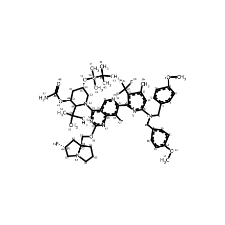 COc1ccc(CN(Cc2ccc(OC)cc2)c2cc(C)c(C(F)(F)F)c(-c3ncc4c(N5C[C@@H](O[Si](C)(C)C(C)(C)C)C[C@H](OC(N)=O)C5C(C)(C)C)nc(OC[C@@]56CCCN5C[C@H](F)C6)nc4c3F)n2)cc1